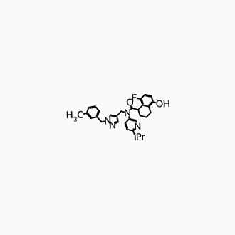 Cc1cccc(Cn2cc(CN(C(=O)C3CCCc4c(O)ccc(F)c43)c3ccc(C(C)C)nc3)cn2)c1